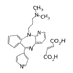 CN(C)CCCN1c2ccccc2C(c2ccncc2)=Nc2cccnc21.O=C(O)/C=C/C(=O)O